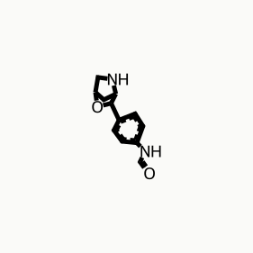 O=CNc1ccc(C2OC3CNC2C3)cc1